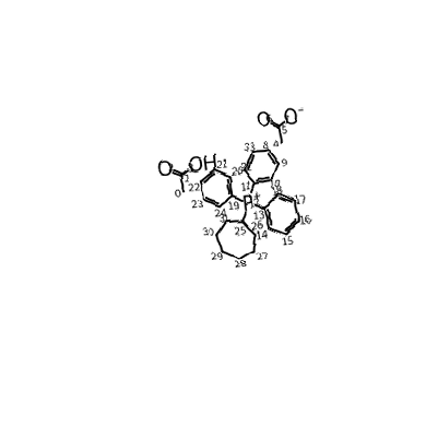 CC(=O)O.CC(=O)[O-].c1ccc([P+](c2ccccc2)(c2ccccc2)C2CCCCCC2)cc1